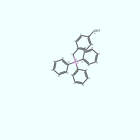 CCCCCCCCc1ccc(C[PH](c2ccccc2)(c2ccccc2)c2ccccc2)cc1